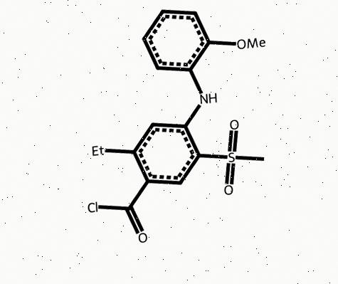 CCc1cc(Nc2ccccc2OC)c(S(C)(=O)=O)cc1C(=O)Cl